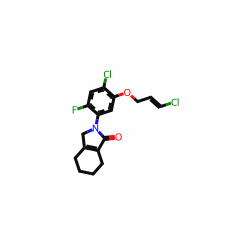 O=C1C2=C(CCCC2)CN1c1cc(OCC=CCl)c(Cl)cc1F